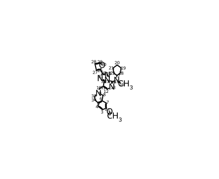 COc1ccc2c(c1)CN(Cc1cnc(N(C)C3CCCCC3)n3nc(-c4ccco4)nc13)CC2